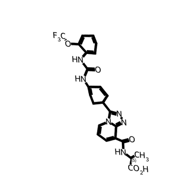 C[C@H](NC(=O)c1cccn2c(C3C=CC(NC(=O)Nc4ccccc4OC(F)(F)F)=CC3)nnc12)C(=O)O